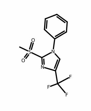 CS(=O)(=O)c1nc(C(F)(F)F)cn1-c1ccccc1